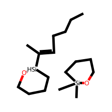 CCCC/C=C(\C)[SiH]1CCCCO1.C[Si]1(C)CCCCO1